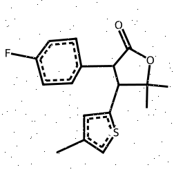 Cc1csc(C2C(c3ccc(F)cc3)C(=O)OC2(C)C)c1